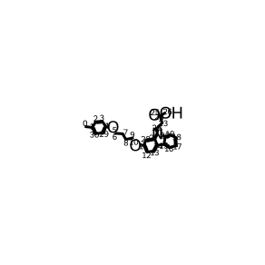 Cc1ccc(OCCCCOc2ccc3c4ccccc4n(CCC(=O)O)c3c2)cc1